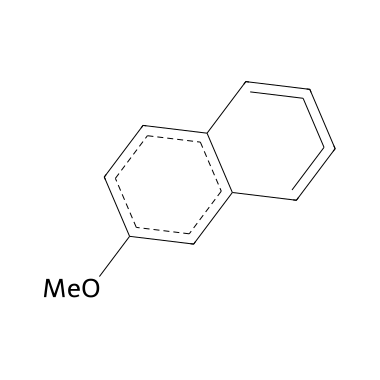 COc1ccc2c(c1)C=C=C=C2